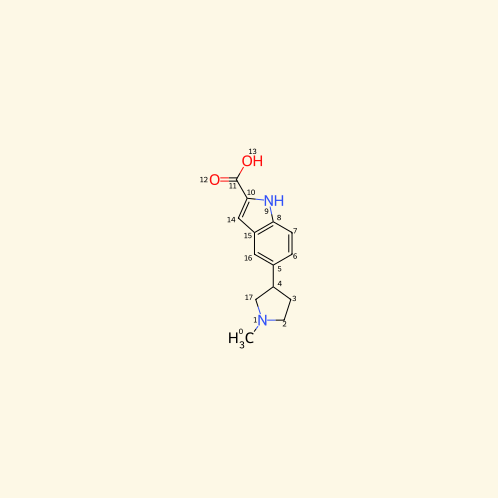 CN1CCC(c2ccc3[nH]c(C(=O)O)cc3c2)C1